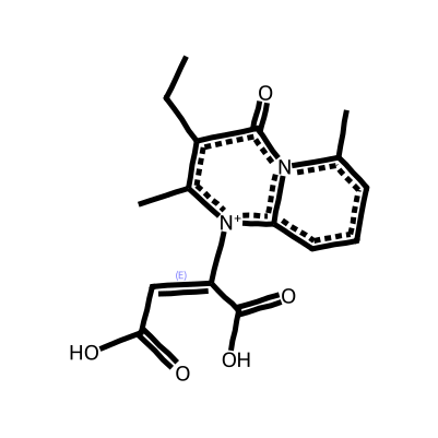 CCc1c(C)[n+](/C(=C/C(=O)O)C(=O)O)c2cccc(C)n2c1=O